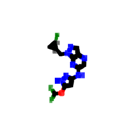 FC(F)Oc1cc(Nc2cnc3cnn(C[C@H]4C[C@@H]4F)c3n2)n[nH]1